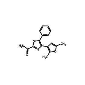 Cc1cc(-c2nc(C(N)=O)sc2-c2ccccc2)c(C)o1